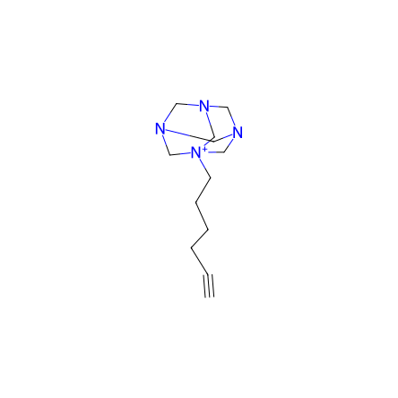 C#CCCCC[N+]12CN3CN(CN(C3)C1)C2